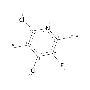 Cc1c(Cl)nc(F)c(F)c1Cl